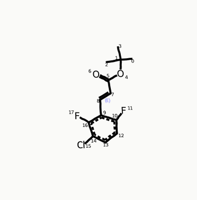 CC(C)(C)OC(=O)/C=C/c1c(F)ccc(Cl)c1F